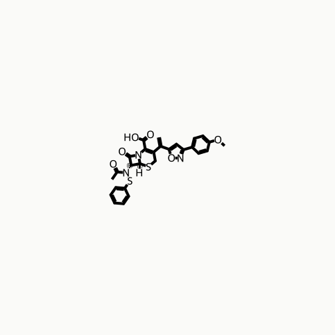 C=C(C1=C(C(=O)O)N2C(=O)[C@@H](N(Sc3ccccc3)C(C)=O)[C@H]2SC1)c1cc(-c2ccc(OC)cc2)no1